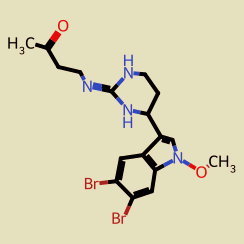 COn1cc(C2CCN/C(=N\CCC(C)=O)N2)c2cc(Br)c(Br)cc21